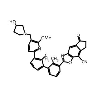 COc1nc(-c2cccc(-c3cccc(-c4nc5cc6c(c(C#N)c5o4)CCC6=O)c3C)c2C)ccc1CN1CC[C@@H](O)C1